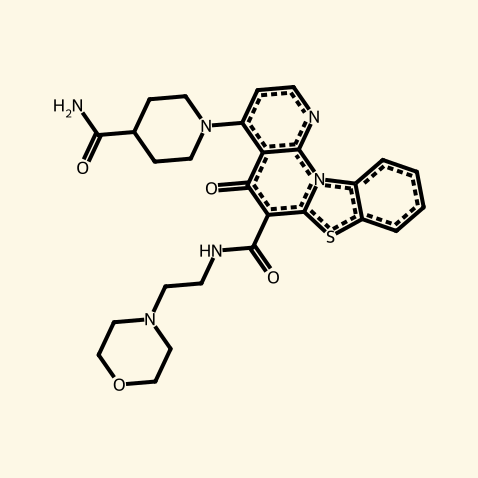 NC(=O)C1CCN(c2ccnc3c2c(=O)c(C(=O)NCCN2CCOCC2)c2sc4ccccc4n23)CC1